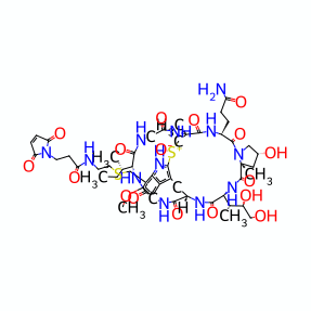 CC[C@H](C)[C@H]1NC(=O)CNC(=O)[C@@H]2Cc3c([nH]c4c(CSCCNC(=O)CCN5C(=O)C=CC5=O)c(OC)ccc34)[S+]([O-])C[C@](C)(NC(=O)CNC1=O)C(=O)N[C@@H](CCC(N)=O)C(=O)N1C[C@H](O)C[C@]1(C)C(=O)N[C@@H]([C@@H](C)[C@@H](O)CO)C(=O)N2